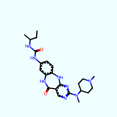 CCC(C)NC(=O)Nc1ccc2c(c1)NC(=O)c1cnc(N(C)C3CCN(C)CC3)nc1N2